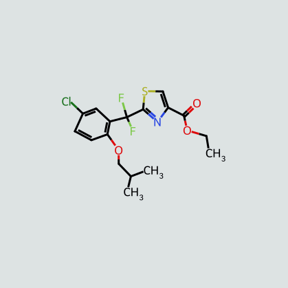 CCOC(=O)c1csc(C(F)(F)c2cc(Cl)ccc2OCC(C)C)n1